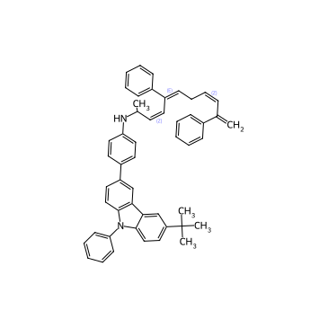 C=C(/C=C\C/C=C(\C=C/C(C)Nc1ccc(-c2ccc3c(c2)c2cc(C(C)(C)C)ccc2n3-c2ccccc2)cc1)c1ccccc1)c1ccccc1